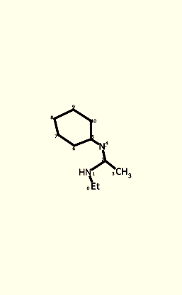 CCNC(C)[N]C1CCCCC1